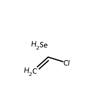 C=CCl.[SeH2]